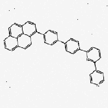 c1cc(-c2ccncc2)nc(-c2ccc(-c3ccc(-c4ccc5ccc6cccc7ccc4c5c67)cc3)cc2)c1